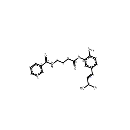 COc1ccc(/C=C/C(O)C(C)(C)C)cc1OC(=O)CCCNC(=O)c1cccnc1